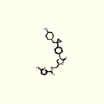 O=C(NCC1CN(c2ccc(C3(CN4CCC(O)CC4)CC3)cc2)C(=O)O1)c1ccc(Cl)s1